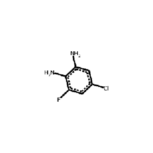 Nc1cc(Cl)cc(F)c1N